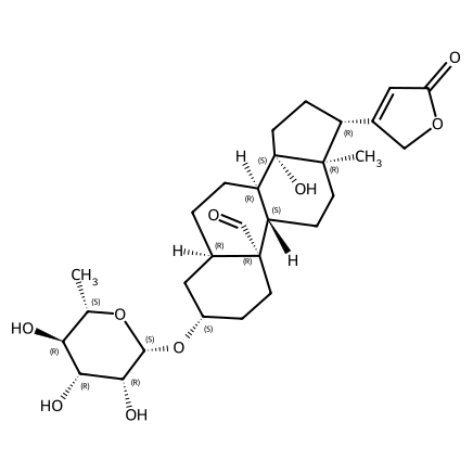 C[C@@H]1O[C@H](O[C@H]2CC[C@@]3(C=O)[C@H](CC[C@@H]4[C@@H]3CC[C@]3(C)[C@@H](C5=CC(=O)OC5)CC[C@]43O)C2)[C@H](O)[C@H](O)[C@H]1O